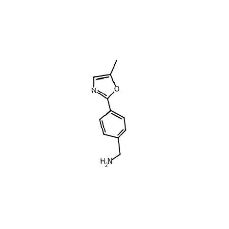 Cc1cnc(-c2ccc(CN)cc2)o1